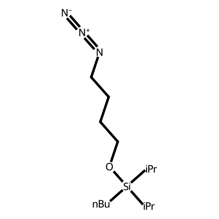 CCCC[Si](OCCCCN=[N+]=[N-])(C(C)C)C(C)C